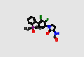 CP(C)(=O)c1ccccc1-c1ccc(N2CCC(NC=O)C2=O)c(F)c1F